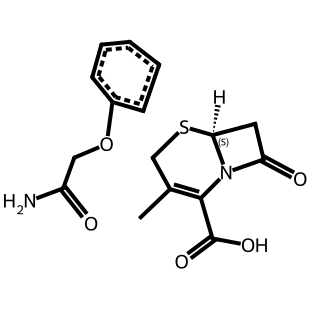 CC1=C(C(=O)O)N2C(=O)C[C@@H]2SC1.NC(=O)COc1ccccc1